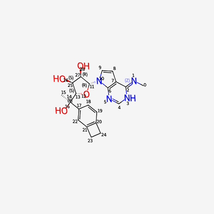 C/N=c1\[nH]cnc2c1ccn2[C@@H]1O[C@H]([C@](C)(O)c2ccc3c(c2)CC3)[C@@H](O)[C@H]1O